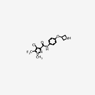 Cn1nc(C(=O)Nc2ccc(OC3CNC3)cc2)c(Cl)c1C(F)(F)F